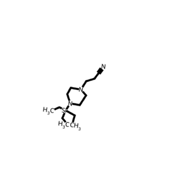 CC[Si](CC)(CC)N1CCN(CCC#N)CC1